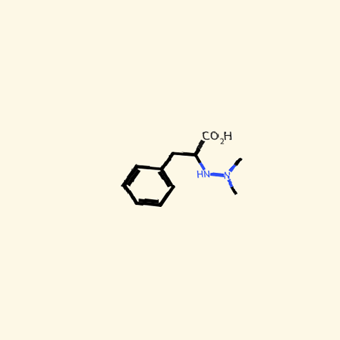 CN(C)NC(Cc1ccccc1)C(=O)O